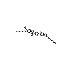 CCCCCCCCCOc1ccc(-c2ccc(C(=O)OC3CCC(C#N)(CCCCCCC)CC3)cc2)c(F)c1